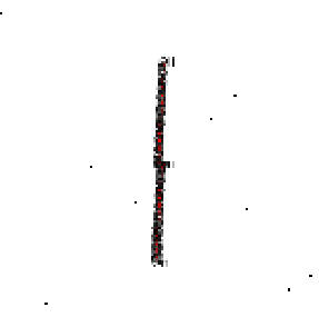 OCCOCCOCCOCCOCCOCCOCCOCCOCCOCCOCCOCCOCCOCCOCCOCCOCCOCCOCCOC(CO)SC(CO)OCCOCCOCCOCCOCCOCCOCCOCCOCCOCCOCCOCCOCCOCCOCCOCCOCCOCCOCCO